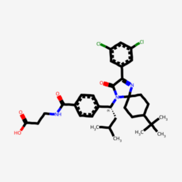 CC(C)C[C@H](c1ccc(C(=O)NCCC(=O)O)cc1)N1C(=O)C(c2cc(Cl)cc(Cl)c2)=NC12CCC(C(C)(C)C)CC2